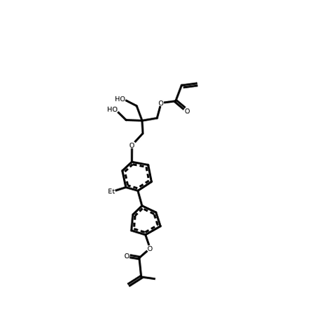 C=CC(=O)OCC(CO)(CO)COc1ccc(-c2ccc(OC(=O)C(=C)C)cc2)c(CC)c1